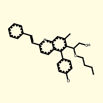 CCCCOC(CO)c1c(C)cc2nc(C=Cc3ccccc3)ccc2c1-c1ccc(Cl)cc1